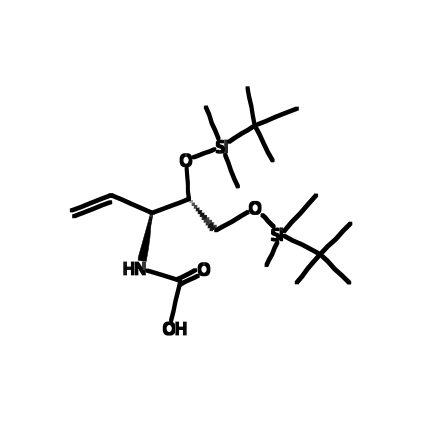 C=C[C@H](NC(=O)O)[C@@H](CO[Si](C)(C)C(C)(C)C)O[Si](C)(C)C(C)(C)C